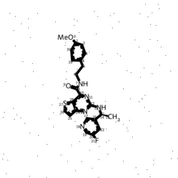 COc1ccc(CCNC(=O)c2nc(N[C@@H](C)c3cncc(F)c3)nc3ccsc23)cc1